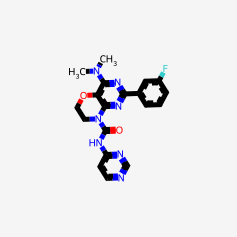 CN(C)c1nc(-c2cccc(F)c2)nc2c1OCCN2C(=O)Nc1ccncn1